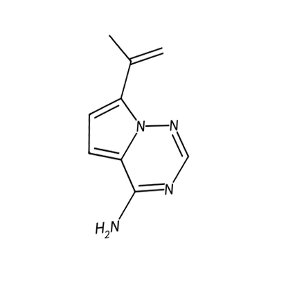 C=C(C)c1ccc2c(N)ncnn12